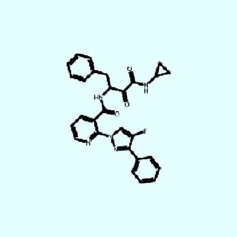 O=C(NC1CC1)C(=O)C(Cc1ccccc1)NC(=O)c1cccnc1-n1cc(F)c(-c2ccccc2)n1